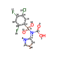 O=C(O)N(c1cscn1)S(=O)(=O)c1cc(Cl)c(F)cc1F